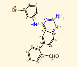 Nc1nc(Nc2cccc(Br)c2)c2cc(-c3ccccc3C=O)ccc2n1